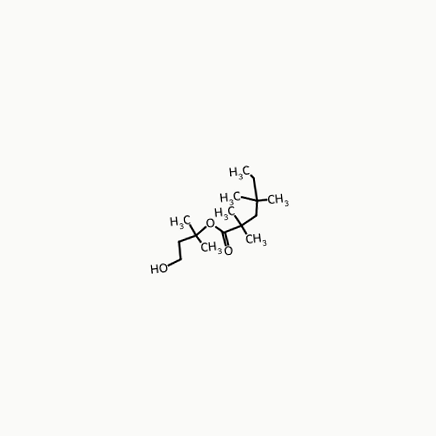 CCC(C)(C)CC(C)(C)C(=O)OC(C)(C)CCO